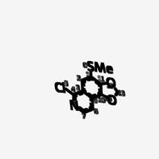 CSc1cc2c(Cl)nccc2c2c1OCO2